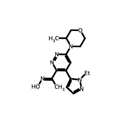 CCn1nccc1-c1cc(N2CCOCC2C)nnc1C(C)=NO